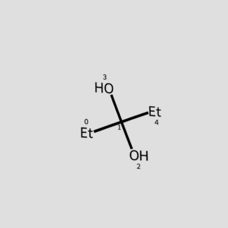 CCC(O)(O)CC